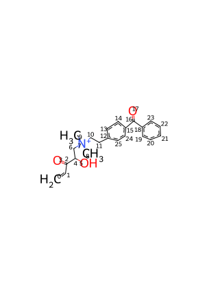 C=CC(=O)C(O)C[N+](C)(C)CCc1ccc(C(=O)c2ccccc2)cc1